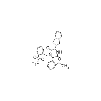 CCc1ccccc1C1C(=O)NC(C2Cc3ccccc3C2)C(=O)N1Cc1ccccc1S(C)(=O)=O